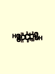 O=P1(O)Cc2cc3c(cc2C1)CP(=O)(O)C3